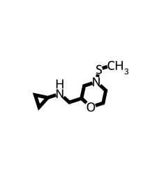 CSN1CCOC(CNC2CC2)C1